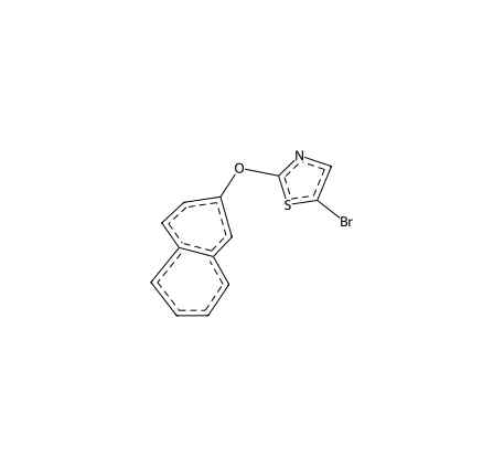 Brc1cnc(Oc2ccc3ccccc3c2)s1